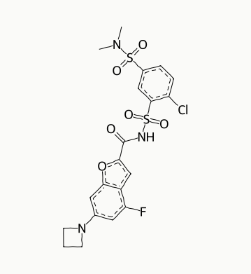 CN(C)S(=O)(=O)c1ccc(Cl)c(S(=O)(=O)NC(=O)c2cc3c(F)cc(N4CCC4)cc3o2)c1